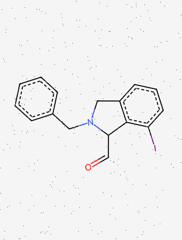 O=CC1c2c(I)cccc2CN1Cc1ccccc1